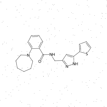 O=C(NCc1cc(-c2cccs2)[nH]n1)c1ccccc1N1CCCCCC1